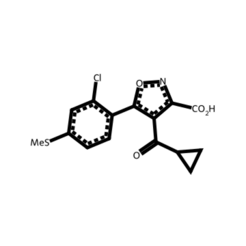 CSc1ccc(-c2onc(C(=O)O)c2C(=O)C2CC2)c(Cl)c1